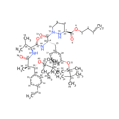 C=CCCOC(=O)[C@@H]1CCCN(C(=O)[C@H](Cc2cccc(O[Si](C)(C)C(C)(C)C)c2)NC(=O)[C@@H](NC(=O)[C@H](C)[C@H](O[Si](C)(C)C(C)(C)C)c2ccc(C=C)cc2)C(C)C)N1